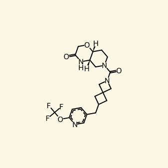 O=C1CO[C@@H]2CCN(C(=O)N3CC4(CC(Cc5ccc(OC(F)(F)F)nc5)C4)C3)C[C@@H]2N1